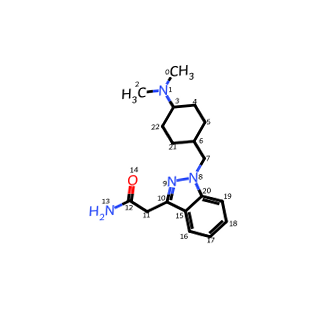 CN(C)C1CCC(Cn2nc(CC(N)=O)c3ccccc32)CC1